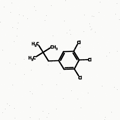 CC(C)(C)Cc1cc(Cl)c(Cl)c(Cl)c1